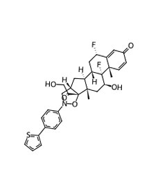 C[C@]12C=CC(=O)C=C1[C@@H](F)C[C@H]1[C@@H]3C[C@H]4CN(c5ccc(-c6cccs6)cc5)O[C@@]4(C(=O)CO)[C@@]3(C)C[C@H](O)[C@@]12F